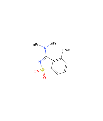 CCCN(CCC)C1=NS(=O)(=O)c2cccc(OC)c21